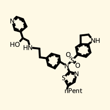 CCCCCc1cnc(N(c2ccc(CCNCC(O)c3cccnc3)cc2)S(=O)(=O)c2ccc3c(c2)CCN3)s1